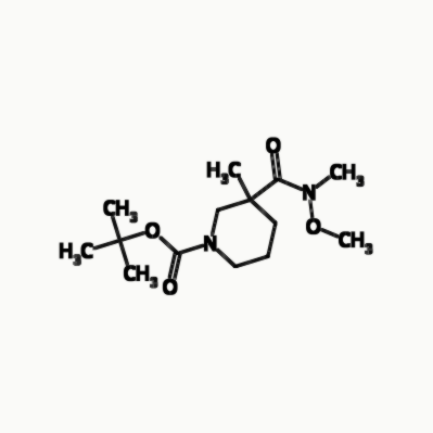 CON(C)C(=O)C1(C)CCCN(C(=O)OC(C)(C)C)C1